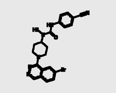 N#Cc1ccc(NC(=O)N(S)C2CCN(c3nncc4ccc(Br)cc34)CC2)cc1